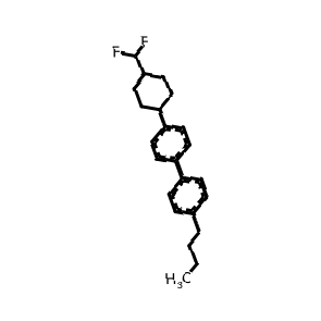 CCCCc1ccc(-c2ccc(C3CCC(C(F)F)CC3)cc2)cc1